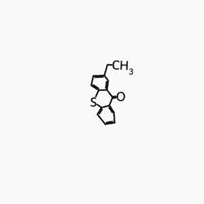 CCc1ccc2sc3ccccc3c(=O)c2c1